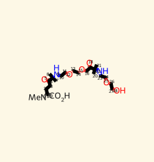 CNC(CCC(=O)C(C)(C)NCCOCCOCC(=O)C(C)(C)NCCOCCO)C(=O)O